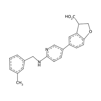 Cc1cccc(CNc2ccc(-c3ccc4c(c3)C(C(=O)O)CO4)cn2)c1